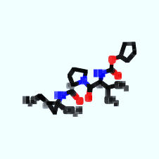 C=C[C@@H]1C[C@]1(NC(=O)[C@@H]1CCCN1C(=O)[C@@H](NC(=O)OC1CCCC1)C(=C)C)C(=O)O